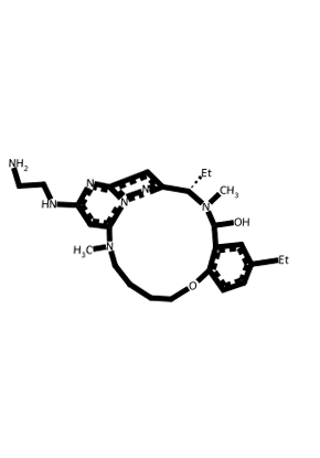 CCc1ccc2c(c1)C(O)N(C)[C@@H](CC)c1cc3nc(NCCN)cc(n3n1)N(C)CCCCO2